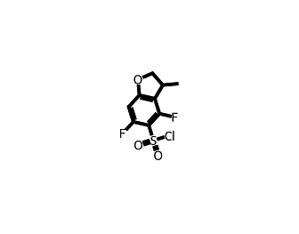 CC1COc2cc(F)c(S(=O)(=O)Cl)c(F)c21